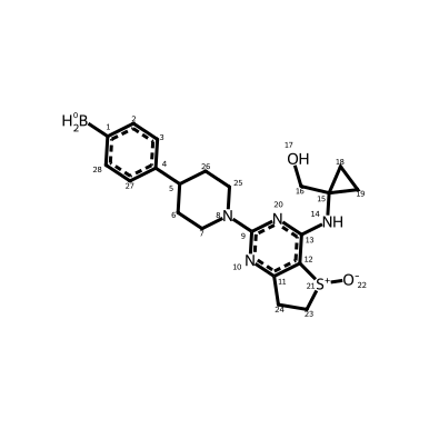 Bc1ccc(C2CCN(c3nc4c(c(NC5(CO)CC5)n3)[S+]([O-])CC4)CC2)cc1